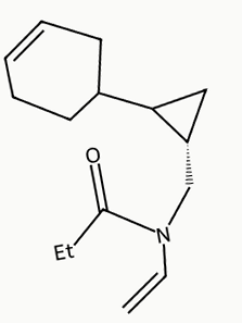 C=CN(C[C@H]1CC1C1CC=CCC1)C(=O)CC